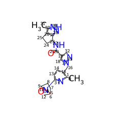 Cc1nc(N2CC3CCC(C2)OC3)ccc1Cn1cc(C(=O)NC2CCc3c2n[nH]c3C)cn1